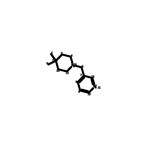 CC1(C)CCN(Cc2cccnc2)CC1